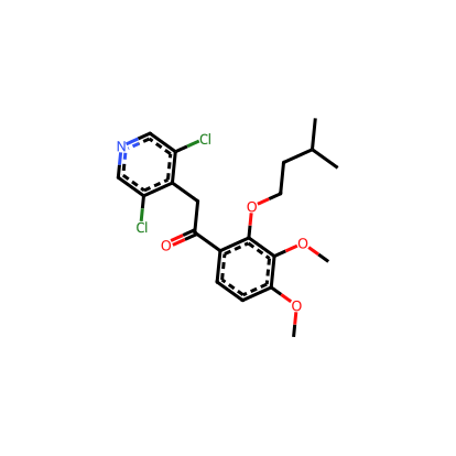 COc1ccc(C(=O)Cc2c(Cl)cncc2Cl)c(OCCC(C)C)c1OC